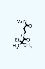 CCC(C)(C)C(=O)OCCC(=O)NC